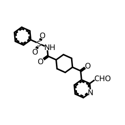 O=Cc1ncccc1C(=O)C1CCC(C(=O)NS(=O)(=O)c2ccccc2)CC1